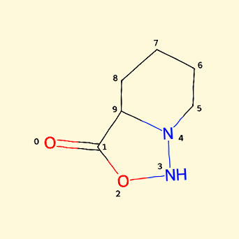 O=C1ONN2CCCCC12